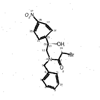 O=C(CBr)N(Cc1ccccc1)C[C@@H](O)c1ccc([N+](=O)[O-])cc1